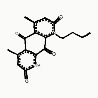 CCCCn1c2c(c(C)cc1=O)C(=O)c1c(C)cc(=O)[nH]c1C2=O